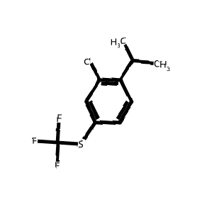 CC(C)c1ccc(SC(F)(F)F)cc1Cl